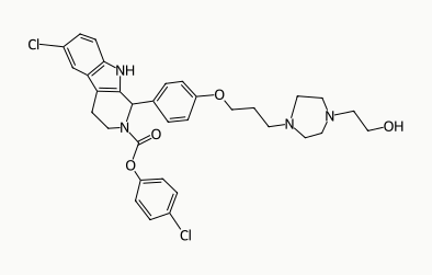 O=C(Oc1ccc(Cl)cc1)N1CCc2c([nH]c3ccc(Cl)cc23)C1c1ccc(OCCCN2CCN(CCO)CC2)cc1